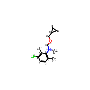 CCc1ccc(Cl)c(CC)c1N(COCC1CC1)C(C)=O